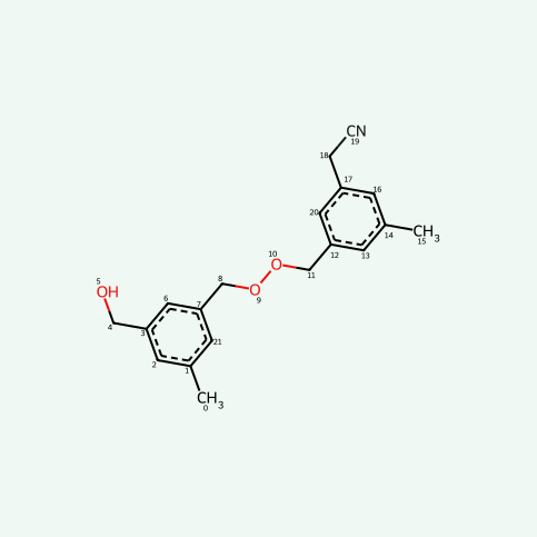 Cc1cc(CO)cc(COOCc2cc(C)cc(CC#N)c2)c1